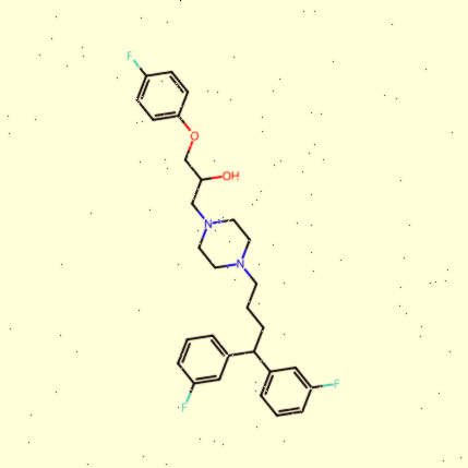 OC(COc1ccc(F)cc1)CN1CCN(CCCC(c2cccc(F)c2)c2cccc(F)c2)CC1